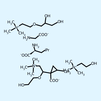 CC(C)C[C@H](N)C(=O)[O-].CC1CC1(C(=O)[O-])C(C[N+](C)(C)C)OCCO.C[N+](C)(C)CCO.C[N+](C)(C)CCOCC(O)CO.NCC(=O)[O-]